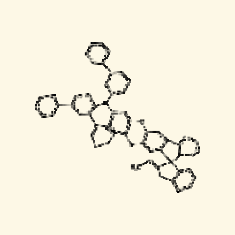 C/C=C1\Cc2ccccc2C12c1ccccc1-c1cc3c(cc12)Oc1ccc(N(c2cccc(-c4ccccc4)c2)c2ccc(-c4ccccc4)cc2C2=CCCC=C2)cc1O3